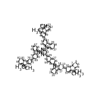 CC1(C)c2ccccc2-c2cc(-c3ccc4c(c3)c3ccccc3n4-c3ccc4cc(-c5cc(-n6c7ccccc7c7cc(-c8ccc9c(c8)-c8ccccc8C9(C)C)ccc76)nc(-n6c7ccccc7c7cc(-c8ccc9c(c8)-c8ccccc8C9(C)C)ccc76)n5)ccc4c3)ccc21